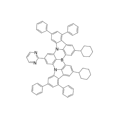 c1ccc(-c2cc(-c3ccccc3)c3c4cc(C5CCCCC5)cc5c4n(c3c2)-c2cc(-c3ncccn3)cc3c2B5c2cc(C4CCCCC4)cc4c5c(-c6ccccc6)cc(-c6ccccc6)cc5n-3c24)cc1